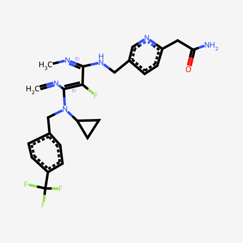 C=N/C(=C(F)\C(=N/C)NCc1ccc(CC(N)=O)nc1)N(Cc1ccc(C(F)(F)F)cc1)C1CC1